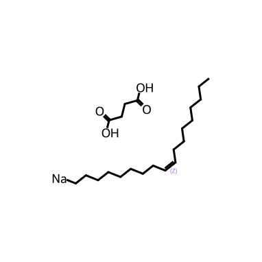 CCCCCCCC/C=C\CCCCCCC[CH2][Na].O=C(O)CCC(=O)O